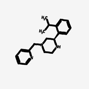 CC(C)c1ccccc1[C@@H]1CN(Cc2ccccn2)CCN1